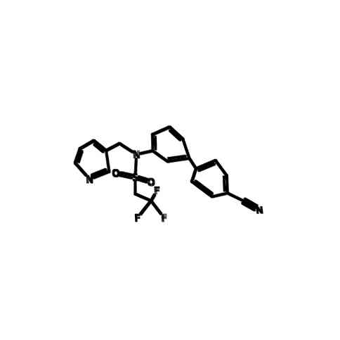 N#Cc1ccc(-c2cccc(N(Cc3cccnc3)S(=O)(=O)CC(F)(F)F)c2)cc1